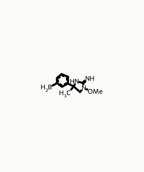 Bc1cccc(C2(C)CN(OC)C(=N)N2)c1